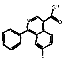 O=C(O)c1cnc(-c2ccccc2)c2cc(F)ccc12